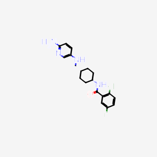 Nc1ccc(NC[C@H]2CC[C@H](NC(=O)c3cc(Cl)ccc3Cl)CC2)cn1